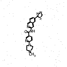 CN1CCN(c2ccc(C(=O)Nc3cc4cc(-c5nncs5)ccc4cn3)cn2)CC1